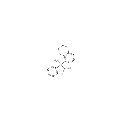 NC(=O)C(N)(c1ccccc1)c1cccc2c1CCCC2